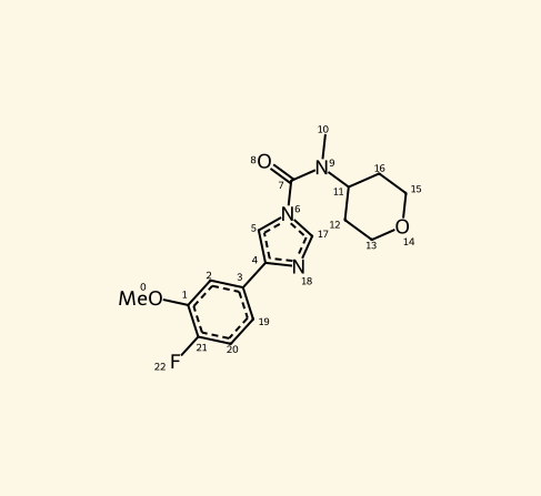 COc1cc(-c2cn(C(=O)N(C)C3CCOCC3)cn2)ccc1F